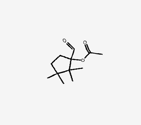 CC(=O)OC1(C=O)CCC(C)(C)C1(C)C